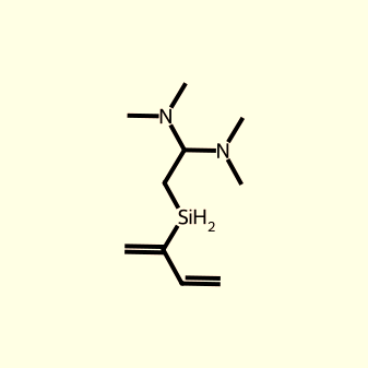 C=CC(=C)[SiH2]CC(N(C)C)N(C)C